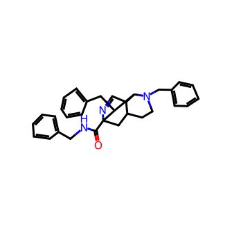 O=C(NCc1ccccc1)C12CC3CCN(Cc4ccccc4)C(C3C=N1)C2Cc1ccccc1